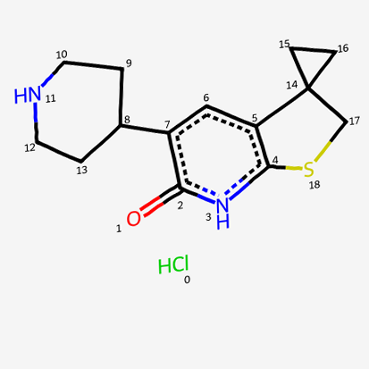 Cl.O=c1[nH]c2c(cc1C1CCNCC1)C1(CC1)CS2